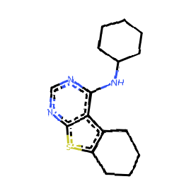 c1nc(NC2CCCCC2)c2c3c(sc2n1)CCCC3